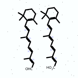 CC1=C(/C=C/C(C)=C/C=C/C(C)=C/C(=O)O)C(C)(C)CCC1.CC1=C(/C=C/C(C)=C/C=C/C(C)=C/C=O)C(C)(C)CCC1